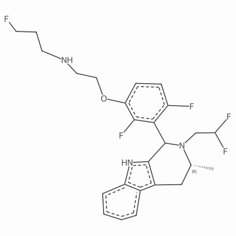 C[C@@H]1Cc2c([nH]c3ccccc23)C(c2c(F)ccc(OCCNCCCF)c2F)N1CC(F)F